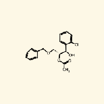 CC(=O)O[C@H](COCc1ccccc1)[C@H](O)c1ccccc1Cl